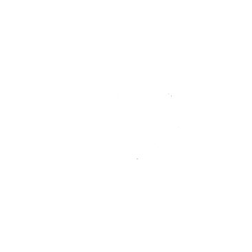 Cc1cc(N)c(C)c(C(OC(C)(C)C)C(=O)O)c1-c1ccc2c(c1)CCCO2